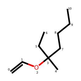 C=COC(C)(CC)CCCC